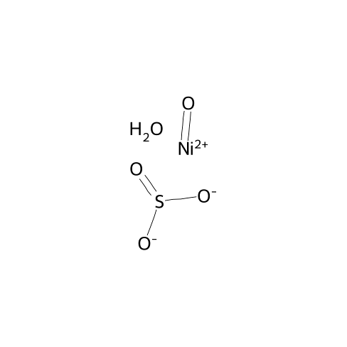 O.O=S([O-])[O-].[O]=[Ni+2]